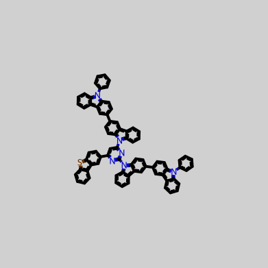 c1ccc(-n2c3ccccc3c3cc(-c4ccc5c(c4)c4ccccc4n5-c4cc(-c5ccc6sc7ccccc7c6c5)nc(-n5c6ccccc6c6cc(-c7ccc8c(c7)c7ccccc7n8-c7ccccc7)ccc65)n4)ccc32)cc1